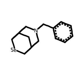 c1ccc(CN2CC3C[Se]CC(C3)C2)cc1